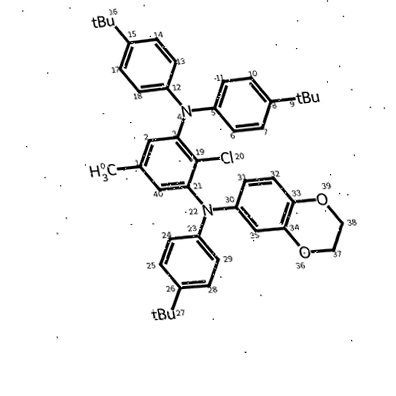 Cc1cc(N(c2ccc(C(C)(C)C)cc2)c2ccc(C(C)(C)C)cc2)c(Cl)c(N(c2ccc(C(C)(C)C)cc2)c2ccc3c(c2)OCCO3)c1